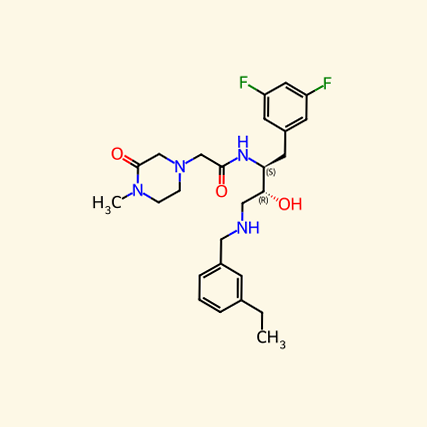 CCc1cccc(CNC[C@@H](O)[C@H](Cc2cc(F)cc(F)c2)NC(=O)CN2CCN(C)C(=O)C2)c1